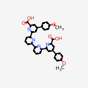 COc1ccc(-c2cc(C(=O)O)nc(-c3cccc(-c4cccc(-c5cc(-c6ccc(OC)cc6)cc(C(=O)O)n5)n4)n3)c2)cc1